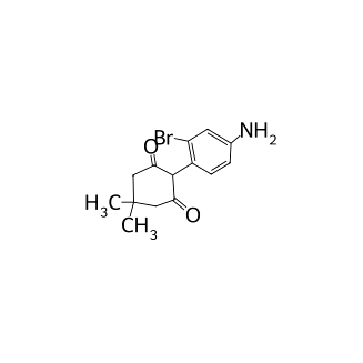 CC1(C)CC(=O)C(c2ccc(N)cc2Br)C(=O)C1